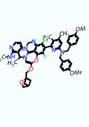 COc1ccc(CN(Cc2ccc(OC)cc2)c2cc(C)c(C(F)(F)F)c(-c3c(F)c4c5c(c3Cl)=NCNC=5N(C(C)c3cccnc3NC(=O)O)C=C(OCC35CC(CO3)C5)O4)n2)cc1